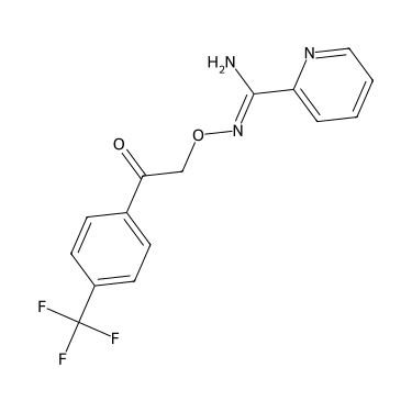 NC(=NOCC(=O)c1ccc(C(F)(F)F)cc1)c1ccccn1